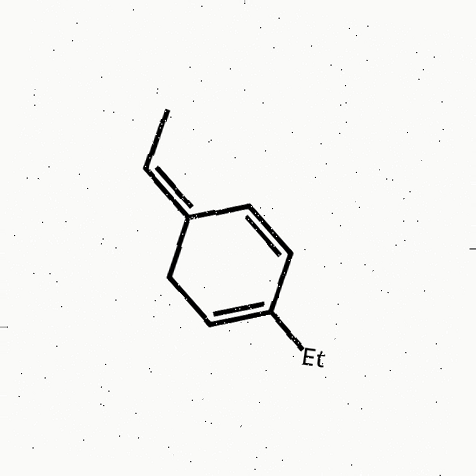 CC=C1C=CC(CC)=CC1